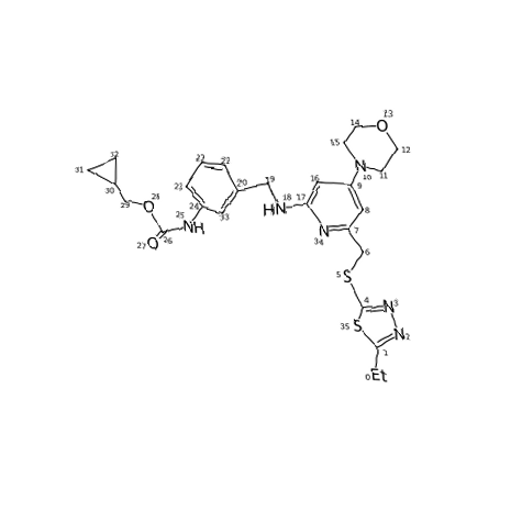 CCc1nnc(SCc2cc(N3CCOCC3)cc(NCc3cccc(NC(=O)OCC4CC4)c3)n2)s1